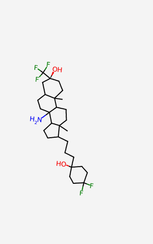 CC12CCC3C4(C)CC[C@@](O)(C(F)(F)F)CC4CCC3(N)C1CCC2CCCC1(O)CCC(F)(F)CC1